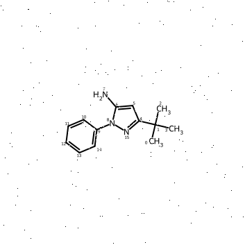 CC(C)(C)c1cc(N)n(-c2[c]cccc2)n1